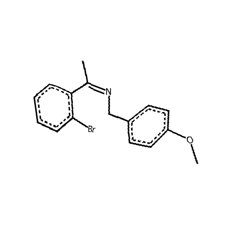 COc1ccc(C/N=C(/C)c2ccccc2Br)cc1